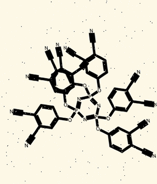 N#Cc1ccc(OP2(Oc3ccc(C#N)c(C#N)c3)=NP(Oc3ccc(C#N)c(C#N)c3)(Oc3ccc(C#N)c(C#N)c3)=NP(Oc3ccc(C#N)c(C#N)c3)(Oc3ccc(C#N)c(C#N)c3)=N2)cc1C#N